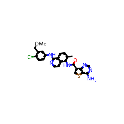 COCc1cc(Nc2nccc3c(NC(=O)c4csc5c(N)ncnc45)c(C)ccc23)ccc1Cl